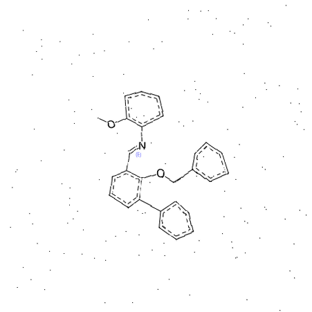 COc1ccccc1/N=C/c1cccc(-c2ccccc2)c1OCc1ccccc1